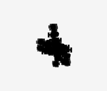 [N-]=[N+]=NC[C@@H]1CC[C@@H](NC(=O)OCc2ccccc2)[C@@H](O[C@H]2[C@H](O[C@@H]3O[C@H](CO)[C@@H](O[C@H]4O[C@@H](CNC(=O)OCc5ccccc5)[C@@H](O)[C@H](O)[C@H]4NC(=O)OCc4ccccc4)[C@H]3OCCN(CCc3ccccc3)C(=O)OCc3ccccc3)[C@@H](O)[C@H](NC(=O)[C@@H](O)CCNC(=O)OCc3ccccc3)C[C@@H]2NC(=O)OCc2ccccc2)O1